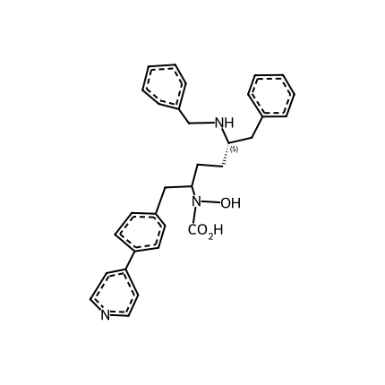 O=C(O)N(O)C(CC[C@@H](Cc1ccccc1)NCc1ccccc1)Cc1ccc(-c2ccncc2)cc1